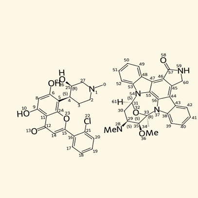 CN1CC[C@@H](c2c(O)cc(O)c3c(=O)cc(-c4ccccc4Cl)oc23)[C@@H](O)C1.CN[C@H]1C[C@@H]2O[C@](C)([C@H]1OC)n1c3ccccc3c3c4c(c5c6ccccc6n2c5c31)C(=O)NC4